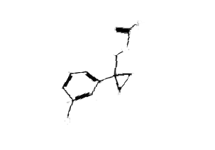 CC(C)C(=O)OCC1(c2cccc(Cl)c2)CC1